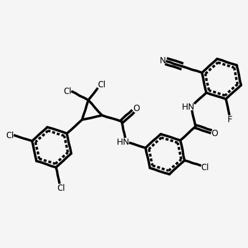 N#Cc1cccc(F)c1NC(=O)c1cc(NC(=O)C2C(c3cc(Cl)cc(Cl)c3)C2(Cl)Cl)ccc1Cl